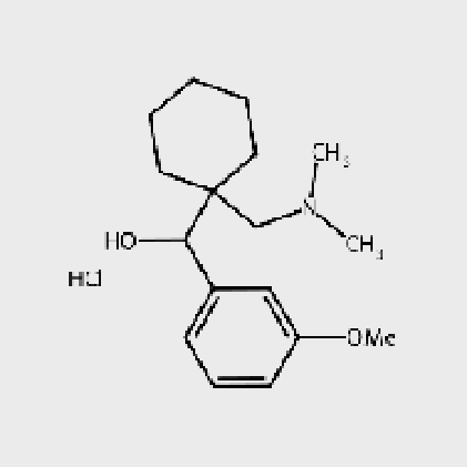 COc1cccc(C(O)C2(CN(C)C)CCCCC2)c1.Cl